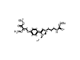 C[n+]1cn(CCCNC(=O)OC(C)(C)C)cc1-c1ccc(OCC(ON)C(=O)OC(C)(C)C)cc1.[I-]